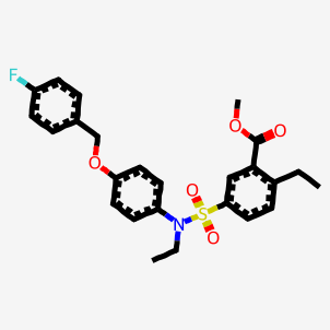 CCc1ccc(S(=O)(=O)N(CC)c2ccc(OCc3ccc(F)cc3)cc2)cc1C(=O)OC